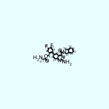 C[C@H](N)C(=O)OCc1cc(F)c(F)cc1-c1ccc2nc(N)nc(C(=O)N3Cc4ccccc4C3)c2c1